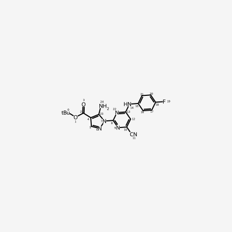 CC(C)(C)OC(=O)c1cnn(-c2nc(C#N)cc(Nc3ccc(F)cc3)n2)c1N